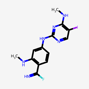 CNc1cc(Nc2ncc(I)c(NC)n2)ccc1C(=N)F